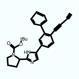 C#CC#Cc1ccc(-c2cnc(C3CCCN3C(=O)OC(C)(C)C)[nH]2)cc1-c1ccccc1